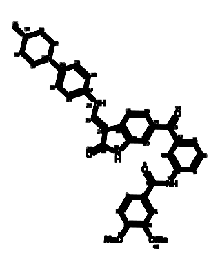 COc1ccc(C(=O)Nc2cccc(C(=O)c3ccc4c(c3)NC(=O)C4=CNc3ccc(N4CCN(C)CC4)cc3)c2)cc1OC